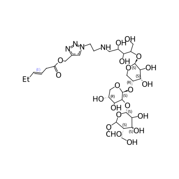 CC/C=C/CC(=O)OCc1cn(CCNCC(O)C(O)C(CO)O[C@@H]2OC[C@@H](O[C@@H]3OC[C@@H](O)C(O)C3O[C@H]3OC(OC=O)[C@@H](CO)[C@H](O)C3O)[C@@H](O)C2O)nn1